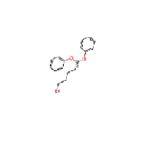 BrCCCC[SiH](Oc1ccccc1)Oc1ccccc1